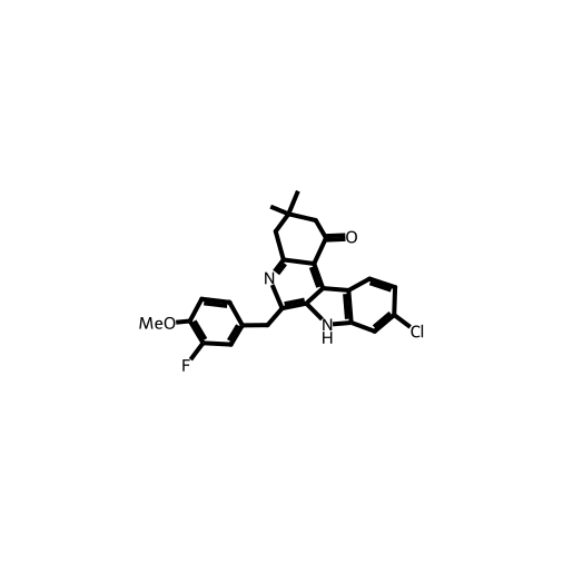 COc1ccc(Cc2nc3c(c4c2[nH]c2cc(Cl)ccc24)C(=O)CC(C)(C)C3)cc1F